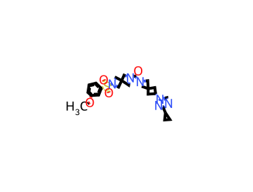 COc1cccc(S(=O)(=O)N2CC3(CN(C(=O)N4CC5(CC(n6cnc(C7CC7)n6)C5)C4)C3)C2)c1